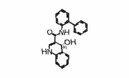 O=C(Nc1ccccc1-c1ccccc1)C1=CNc2ccccc2[C@H]1O